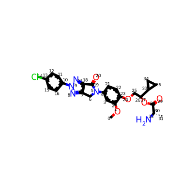 COc1cc(N2Cc3nn(-c4ccc(Cl)cc4)nc3C2=O)ccc1OCC(OC(=O)[C@H](C)N)C1CC1